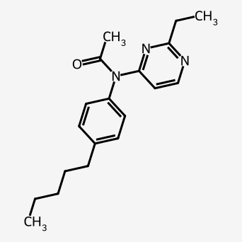 CCCCCc1ccc(N(C(C)=O)c2ccnc(CC)n2)cc1